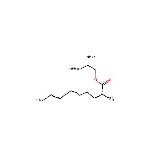 CCCCCCCCCCCCCCCCC(C)C(=O)OCC(CCCCCC)CCCCCCC